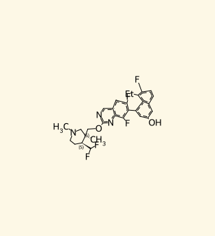 CCc1c(F)ccc2cc(O)cc(-c3c(F)cc4cnc(OC[C@]5(C)CN(C)CC[C@@H]5C(F)F)nc4c3F)c12